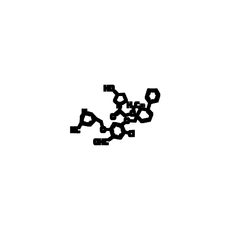 C[C@H]1C(c2ccccc2)=CC=CC1(COc1cc(OCc2cncc(C#N)c2)c(C=O)cc1Cl)OCC(=O)N1CCC(O)C1